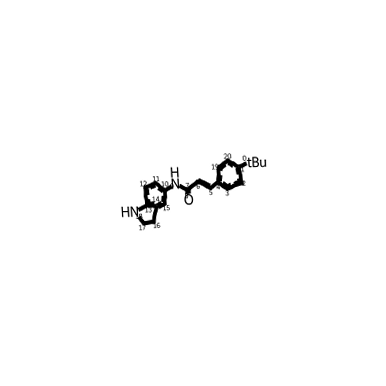 CC(C)(C)c1ccc(/C=C/C(=O)Nc2ccc3c(c2)CCN3)cc1